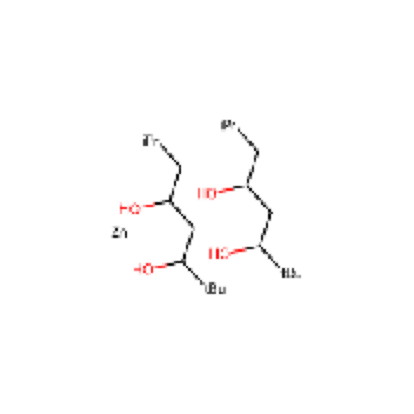 CC(C)CC(O)CC(O)C(C)(C)C.CC(C)CC(O)CC(O)C(C)(C)C.[Zn]